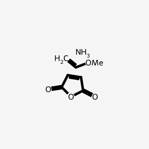 C=COC.N.O=C1C=CC(=O)O1